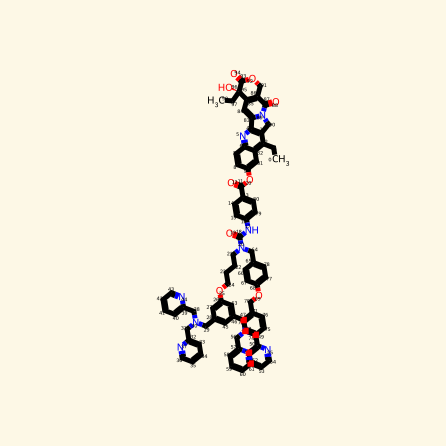 CCc1c2c(nc3ccc(OC(=O)c4ccc(NC(=O)N(CCCCOc5cc(CN(Cc6ccccn6)Cc6ccccn6)cc(CN(Cc6ccccn6)Cc6ccccn6)c5)Cc5ccc(OCc6ccccc6)cc5)cc4)cc13)-c1cc3c(c(=O)n1C2)COC(=O)[C@]3(O)CC